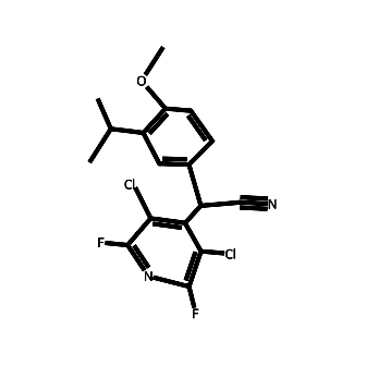 COc1ccc(C(C#N)c2c(Cl)c(F)nc(F)c2Cl)cc1C(C)C